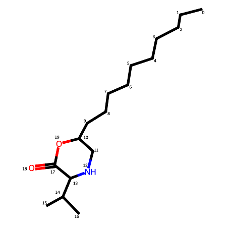 CCCCCCCCCCC1CNC(C(C)C)C(=O)O1